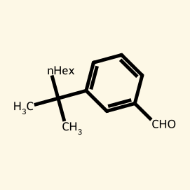 CCCCCCC(C)(C)c1cccc(C=O)c1